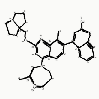 Cc1c(-c2cc(O)cc3ccccc23)ccc2c(N3CCCOC(C)C3)nc(OCC34CCCN3CCC4)nc12